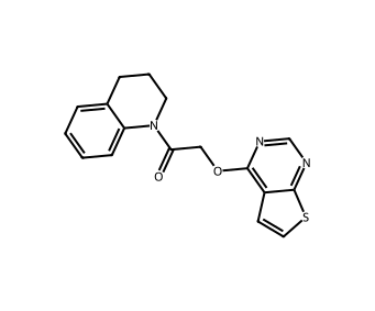 O=C(COc1ncnc2sccc12)N1CCCc2ccccc21